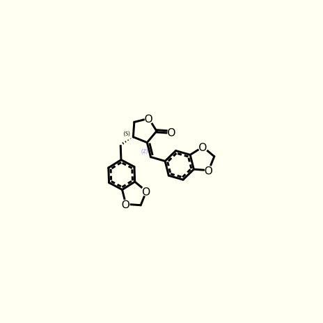 O=C1OC[C@@H](Cc2ccc3c(c2)OCO3)/C1=C/c1ccc2c(c1)OCO2